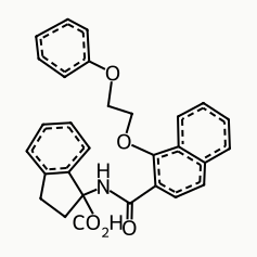 O=C(NC1(C(=O)O)CCc2ccccc21)c1ccc2ccccc2c1OCCOc1ccccc1